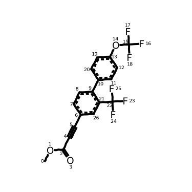 COC(=O)C#Cc1ccc(-c2ccc(OC(F)(F)F)cc2)c(C(F)(F)F)c1